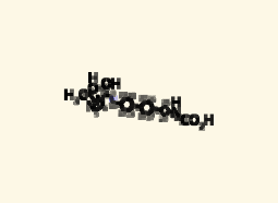 C[C@H](O)c1nccn1[C@@H](/C=C/c1ccc(-c2ccc(C3CC(NCC(=O)O)C3)cc2)cc1)CO